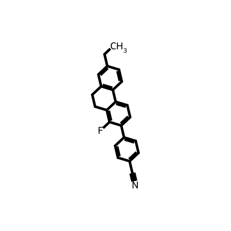 CCc1ccc2c(c1)CCc1c-2ccc(-c2ccc(C#N)cc2)c1F